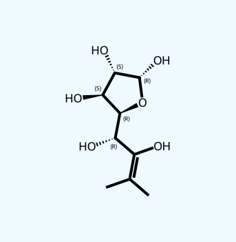 CC(C)=C(O)[C@H](O)[C@@H]1O[C@@H](O)[C@@H](O)[C@@H]1O